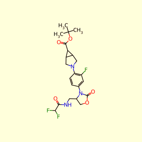 CC(C)(C)OC(=O)C1C2CN(c3ccc(N4C(=O)OCC4CNC(=O)C(F)F)cc3F)CC21